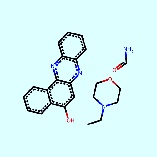 CCN1CCOCC1.NC=O.Oc1cc2nc3ccccc3nc2c2ccccc12